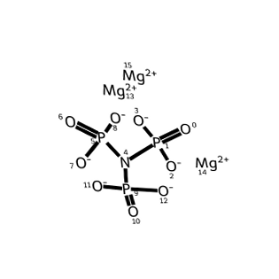 O=P([O-])([O-])N(P(=O)([O-])[O-])P(=O)([O-])[O-].[Mg+2].[Mg+2].[Mg+2]